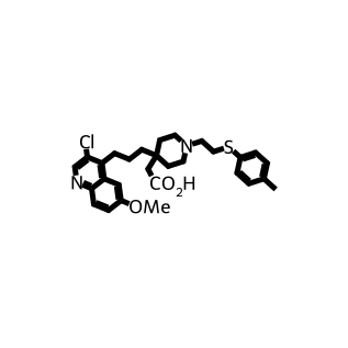 COc1ccc2ncc(Cl)c(CCCC3(CC(=O)O)CCN(CCSc4ccc(C)cc4)CC3)c2c1